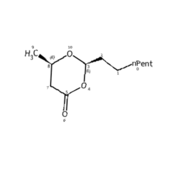 CCCCCCC[C@H]1OC(=O)C[C@@H](C)O1